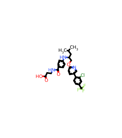 CC(C)CC(COc1ccc(-c2ccc(C(F)(F)F)cc2Cl)cn1)Nc1ccc(C(=O)NCCC(=O)O)cc1